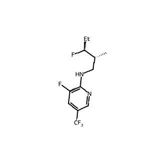 CC[C@H](F)[C@H](C)CNc1ncc(C(F)(F)F)cc1F